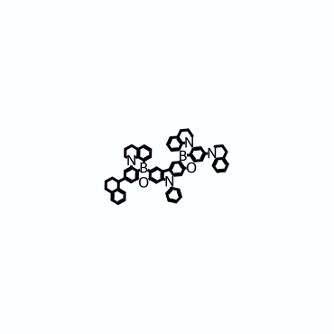 c1ccc(-n2c3cc4c(cc3c3cc5c(cc32)Oc2cc(N3CCCc6ccccc63)cc3c2B5c2cccc5c2N3CCC5)B2c3cccc5c3N(CCC5)c3cc(C5CCCc6ccccc65)cc(c32)O4)cc1